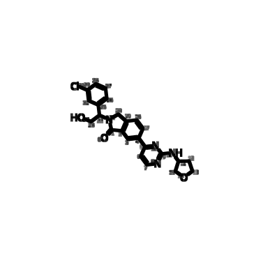 O=C1c2cc(-c3ccnc(NC4CCOC4)n3)ccc2CN1C(CO)c1cccc(Cl)c1